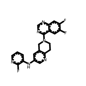 Fc1cc2ncnc(N3CCc4ncc(Nc5cccnc5F)cc4C3)c2cc1F